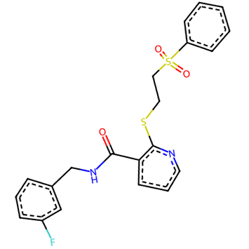 O=C(NCc1cccc(F)c1)c1cccnc1SCCS(=O)(=O)c1ccccc1